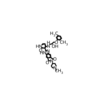 Cc1ccc(C)c(OCC(O)CNc2cc[nH]c(=O)c2-c2nc3cc4c(cc3[nH]2)C(=O)N(C2CCN(C)CC2)C4=O)c1